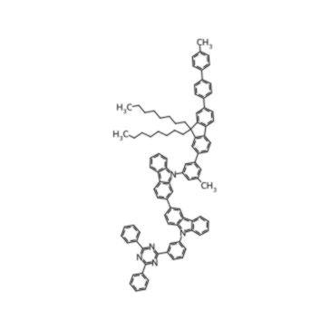 CCCCCCCCC1(CCCCCCCC)c2cc(-c3ccc(-c4ccc(C)cc4)cc3)ccc2-c2ccc(-c3cc(C)cc(-n4c5ccccc5c5ccc(-c6ccc7c(c6)c6ccccc6n7-c6cccc(-c7nc(-c8ccccc8)nc(-c8ccccc8)n7)c6)cc54)c3)cc21